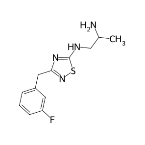 CC(N)CNc1nc(Cc2cccc(F)c2)ns1